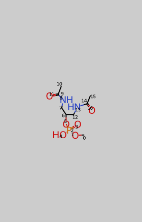 COP(=O)(O)OC(CNC(C)=O)CNC(C)=O